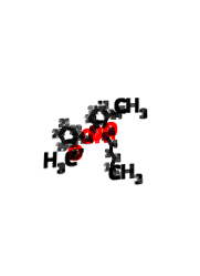 CCCCCCOc1c(O)cccc1CC.COc1ccccc1O